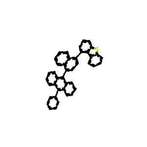 c1ccc(-c2c3ccccc3c(-c3ccc(-c4cccc5sc6ccccc6c45)c4ccccc34)c3ccccc23)cc1